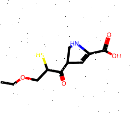 CCOCC(S)C(=O)C1C=C(C(=O)O)NC1